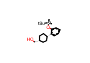 CC(C)(C)[Si](C)(C)Oc1ccccc1[C@H]1CC[C@@H](CO)CC1